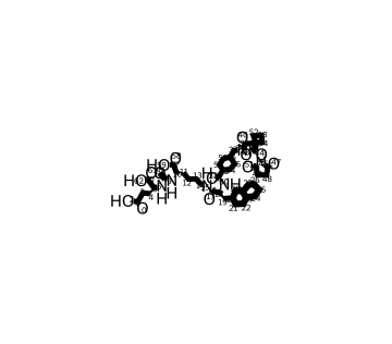 O=C(O)CC[C@H](NC(=O)N[C@@H](CCCCNC(=O)[C@H](Cc1ccc2ccccc2c1)NC(=O)C1CCC(CNC(=O)C2(C(=O)ON3C(=O)CCC3=O)CCC2)CC1)C(=O)O)C(=O)O